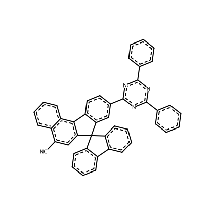 N#Cc1cc2c(c3ccccc13)-c1ccc(-c3nc(-c4ccccc4)nc(-c4ccccc4)n3)cc1C21c2ccccc2-c2ccccc21